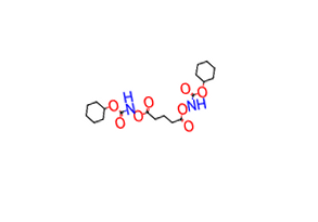 O=C(CCCC(=O)ONC(=O)OC1CCCCC1)ONC(=O)OC1CCCCC1